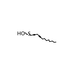 CCCCCCCCC#CCC#CCSCCO